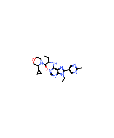 CCC(Nc1ncnc2c1nc(-c1cnc(C)nc1)n2CC)C(=O)N1CCOCC1C1CC1